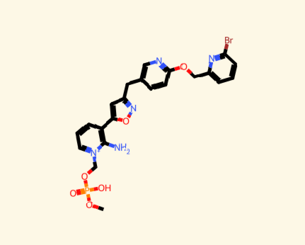 COP(=O)(O)OC[n+]1cccc(-c2cc(Cc3ccc(OCc4cccc(Br)n4)nc3)no2)c1N